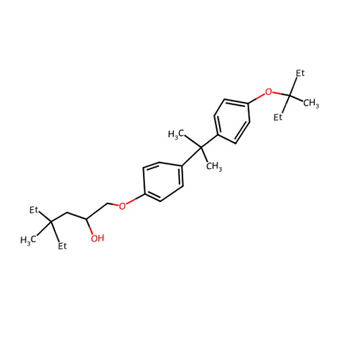 CCC(C)(CC)CC(O)COc1ccc(C(C)(C)c2ccc(OC(C)(CC)CC)cc2)cc1